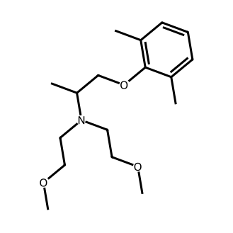 COCCN(CCOC)C(C)COc1c(C)cccc1C